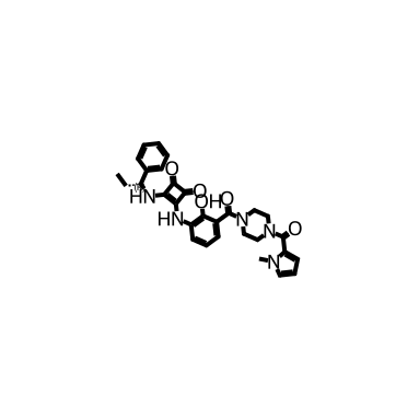 CC[C@@H](Nc1c(Nc2cccc(C(=O)N3CCN(C(=O)c4cccn4C)CC3)c2O)c(=O)c1=O)c1ccccc1